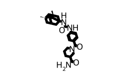 C[C@]12CC3CC(NC(=O)Nc4ccc(C(=O)N5CCCC(C(N)=O)C5)cc4)(C1)C[C@@](C)(C3)C2